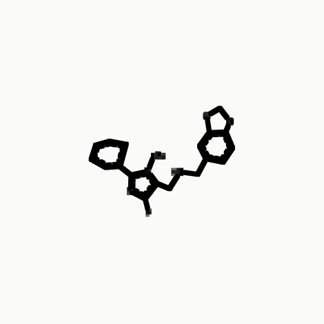 CCCCn1c(-c2ccccc2)nc(F)c1CNCc1ccc2c(c1)OCO2